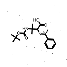 C[C@H](NC(C(=O)O)C(C)(C)NC(=O)OC(C)(C)C)c1ccccc1